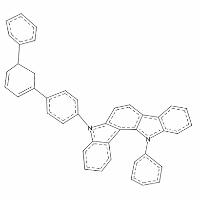 C1=CC(c2ccccc2)CC(c2ccc(-n3c4ccccc4c4c3ccc3c5ccccc5n(-c5ccccc5)c34)cc2)=C1